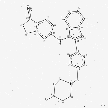 CN1CCN(Cc2cnc(-c3oc4cnccc4c3Nc3ccc4c(c3)CCC4=N)nc2)CC1